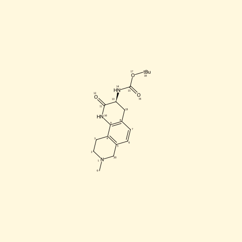 CN1CCc2c(ccc3c2NC(=O)[C@@H](NC(=O)OC(C)(C)C)C3)C1